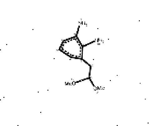 COC(Cc1cccc(N)c1N)OC